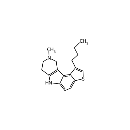 CCCCc1csc2ccc3[nH]c4c(c3c12)CN(C)CC4